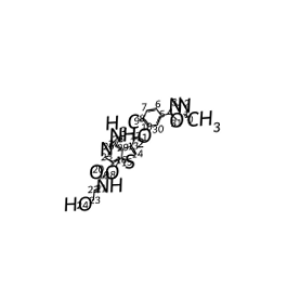 Cc1nnc(-c2ccc(C)c(OCc3csc4c(OC(=O)NCCO)cnc(N)c34)c2)o1